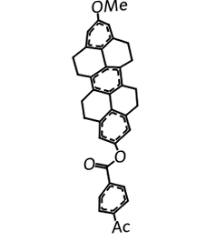 COc1cc2c3c(c1)CCc1c4c5c(c(c1-3)CC2)CCc1cc(OC(=O)c2ccc(C(C)=O)cc2)cc(c1-5)CC4